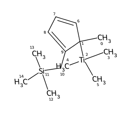 C[C]1([Ti]([CH3])([CH3])[CH3])C=CC=C1C[Si](C)(C)C